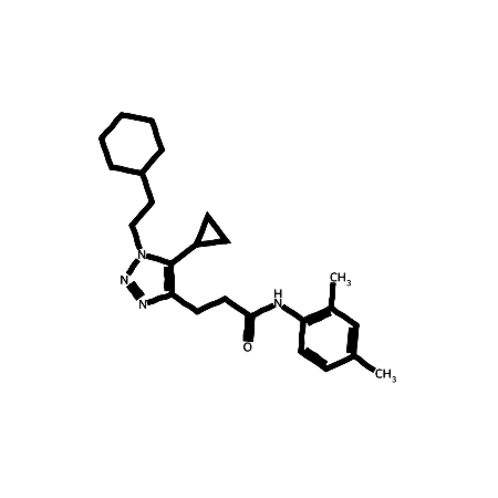 Cc1ccc(NC(=O)CCc2nnn(CCC3CCCCC3)c2C2CC2)c(C)c1